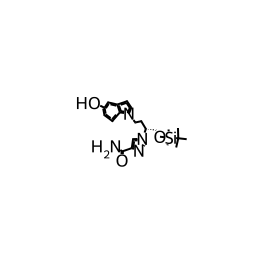 CC(C)(C)[Si](C)(C)OC[C@@H](CCn1ccc2cc(O)ccc21)n1cnc(C(N)=O)c1